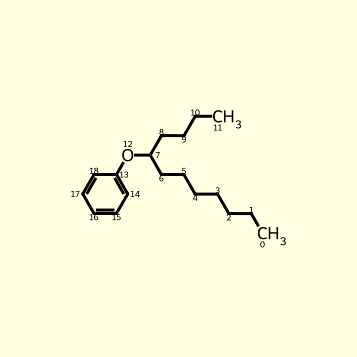 CCCCCCCC(CCCC)Oc1ccccc1